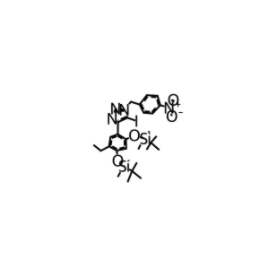 CCc1cc(-c2nnn(Cc3ccc([N+](=O)[O-])cc3)c2I)c(O[Si](C)(C)C(C)(C)C)cc1O[Si](C)(C)C(C)(C)C